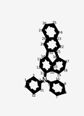 c1ccc(N(c2ccccc2)c2ccc3c4c(cccc24)-c2cc4ccccc4cc2-3)cc1